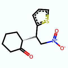 O=C1CCCC[C@@H]1C(C[N+](=O)[O-])c1cccs1